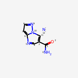 NC(=O)c1cnc2ccnn2c1.[N]